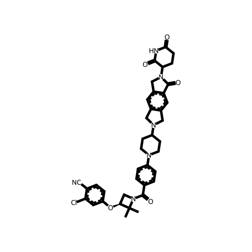 CC1(C)[C@@H](Oc2ccc(C#N)c(Cl)c2)CN1C(=O)c1ccc(N2CCC(N3Cc4cc5c(cc4C3)C(=O)N(C3CCC(=O)NC3=O)C5)CC2)cc1